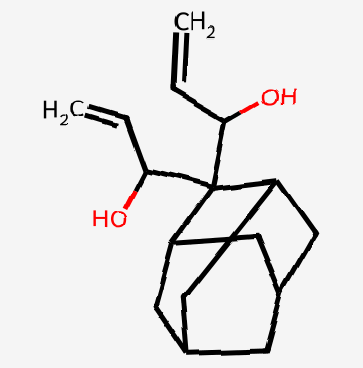 C=CC(O)C1(C(O)C=C)C2CC3CC(C2)CC1C3